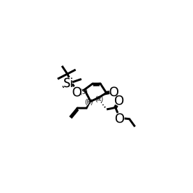 C=CC[C@H]1[C@H](O[Si](C)(C)C(C)(C)C)C=CC(=O)[C@@H]1CC(=O)OCC